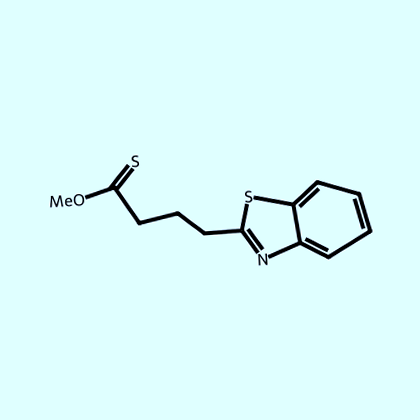 COC(=S)CCCc1nc2ccccc2s1